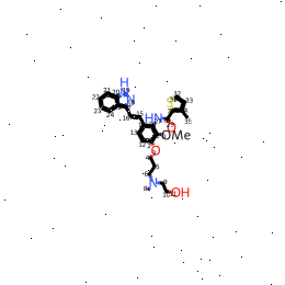 COc1c(OCCCN(C)CCO)ccc(/C=C/c2n[nH]c3ccccc23)c1NC(=O)c1sccc1C